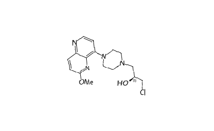 COc1ccc2nccc(N3CCN(C[C@H](O)CCl)CC3)c2n1